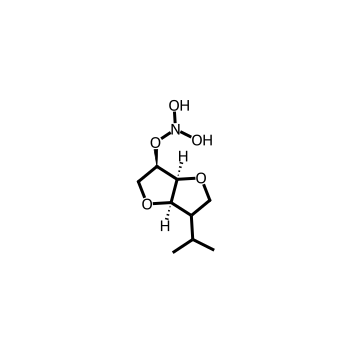 CC(C)C1CO[C@H]2[C@@H]1OC[C@H]2ON(O)O